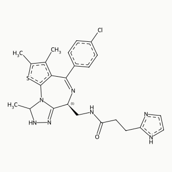 Cc1sc2c(c1C)C(c1ccc(Cl)cc1)=N[C@@H](CNC(=O)CCc1ncc[nH]1)C1=NNC(C)N12